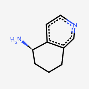 N[C@@H]1CCCc2cnccc21